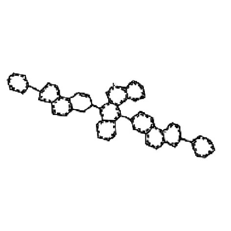 C1=CC(c2c3ccccc3c(-c3ccc4c(ccc5cc(-c6ccccc6)ccc54)c3)c3c2cnc2ccccc23)Cc2ccc3cc(-c4ccccc4)ccc3c21